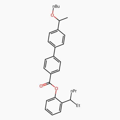 CCCCOC(C)c1ccc(-c2ccc(C(=O)Oc3ccccc3C(CC)CCC)cc2)cc1